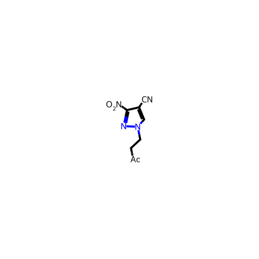 CC(=O)CCn1cc(C#N)c([N+](=O)[O-])n1